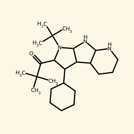 CC(C)(C)C(=O)C1C(C2CCCCC2)C2C3CCCNC3NC2N1C(C)(C)C